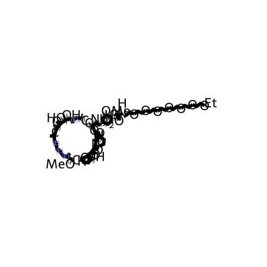 CCOCCOCCOCCOCCOCCOCCOCCNC(=O)O[C@@H]1CC[C@@H](C[C@@H](N)[C@@H]2CC[C@H](C)/C=C(\C)[C@@H](O)[C@@H](O)C(=O)[C@H](C)CC(C)/C=C/C=C/C=C(\C)[C@@H](OC)C[C@@H]3CC[C@@H](C)[C@@](O)(O3)C(=O)C(=O)N3CCCC[C@H]3C(=O)O2)C[C@H]1OC